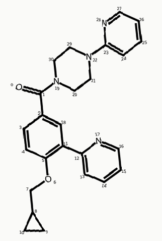 O=C(c1ccc(OCC2CC2)c(-c2ccccn2)c1)N1CCN(c2ccccn2)CC1